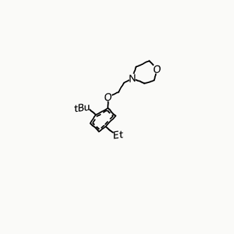 CCc1ccc(C(C)(C)C)c(OCCN2CCOCC2)c1